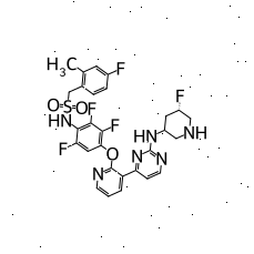 Cc1cc(F)ccc1CS(=O)(=O)Nc1c(F)cc(Oc2ncccc2-c2ccnc(NC3CNC[C@@H](F)C3)n2)c(F)c1F